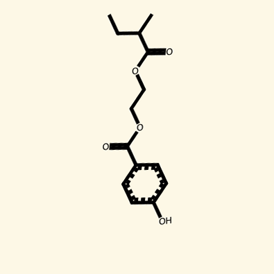 CCC(C)C(=O)OCCOC(=O)c1ccc(O)cc1